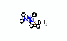 Bc1cccc2c1sc1c(-c3nc(-c4ccccc4)nc(-n4c5ccccc5c5ccccc54)n3)cccc12